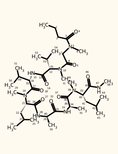 CCCC(=O)N(C)CC(=O)N(C)[C@H](C(=O)N[C@H](C(=O)N(C)[C@@H](CC(C)C)C(=O)N[C@H](C)C(=O)N[C@H](C)C(=O)N(C)[C@@H](CC(C)C)C(=O)NC)C(C)C)C(C)C